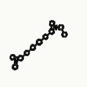 c1ccc(-c2cccc(-n3c4ccccc4c4cc(-c5ccc(-c6ccc(-c7ccc(-c8ccc(-c9ccc%10c(c9)c9ccccc9n%10-c9ccccc9)cc8)cc7)cc6)cc5)ccc43)c2)cc1